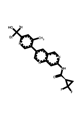 [2H]C(O)(CC)c1cc(C)c(-c2cnc3cc(NC(=O)[C@H]4CC4(F)F)ncc3c2)cn1